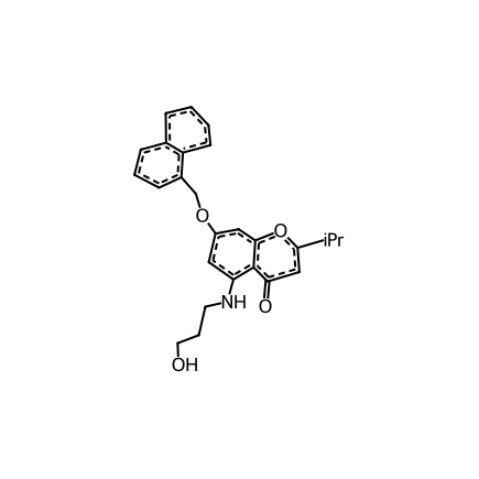 CC(C)c1cc(=O)c2c(NCCCO)cc(OCc3cccc4ccccc34)cc2o1